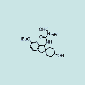 CC(C)COc1ccc2c(c1)C(NC(=O)N(C=O)C(C)C)C1(CCC(O)CC1)C2